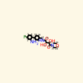 Nc1cc(F)ccc1-c1ccc(CNC(=O)[C@H](O)[C@@H](O)C(=O)N2CCOCC2)cc1